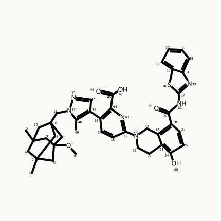 COC12CC3(C)CC(C)(CC(Cn4ncc(-c5ccc(N6CCc7c(O)ccc(C(=O)Nc8nc9ccccc9s8)c7C6)nc5C(=O)O)c4C)(C3)C1)C2